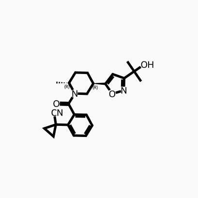 C[C@@H]1CC[C@@H](c2cc(C(C)(C)O)no2)CN1C(=O)c1ccccc1C1(C#N)CC1